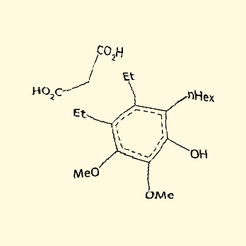 CCCCCCc1c(O)c(OC)c(OC)c(CC)c1CC.O=C(O)CC(=O)O